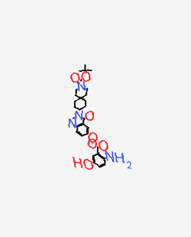 CC(C)(C)OC(=O)N1CCC2(CCC(n3cnc4ccc(OOC(=O)c5cc(O)ccc5N)cc4c3=O)CC2)CC1